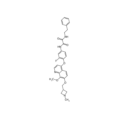 COc1c(OCC2CN(C)C2)ccc2c(Oc3ccc(NC(=O)C(=O)NCCc4ccccc4)cc3F)ccnc12